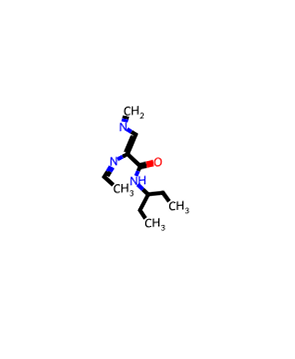 C=N/C=C(\N=C/C)C(=O)NC(CC)CC